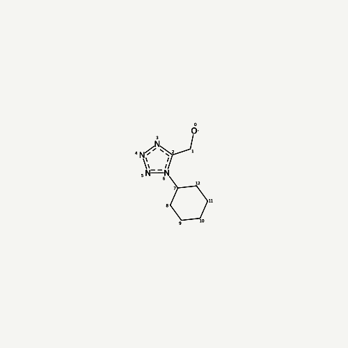 [O]Cc1nnnn1C1CCCCC1